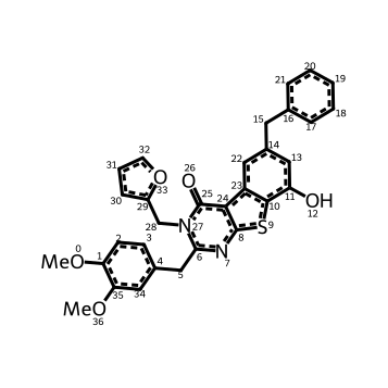 COc1ccc(Cc2nc3sc4c(O)cc(Cc5ccccc5)cc4c3c(=O)n2Cc2ccco2)cc1OC